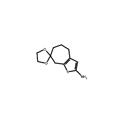 Nc1[c]c2c(s1)CC1(CCC2)OCCO1